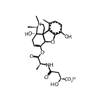 Cc1ccc(O)c2c1C13CCN(C)[C@H](C)[C@]1(O)CC=C(OC(=O)[C@H](C)NC(=O)C[C@H](O)C(=O)O)C3O2